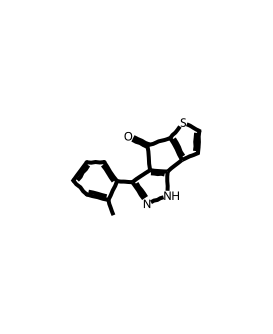 Cc1ccccc1-c1n[nH]c2c1C(=O)c1sccc1-2